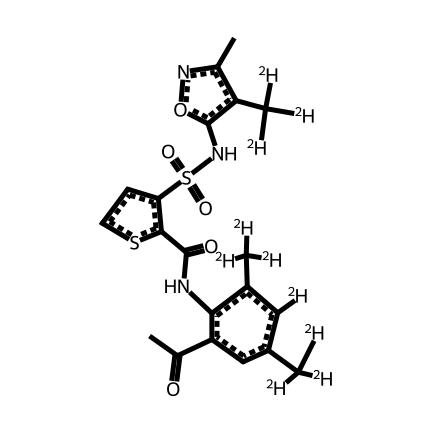 [2H]c1c(C([2H])([2H])[2H])cc(C(C)=O)c(NC(=O)c2sccc2S(=O)(=O)Nc2onc(C)c2C([2H])([2H])[2H])c1C([2H])([2H])[2H]